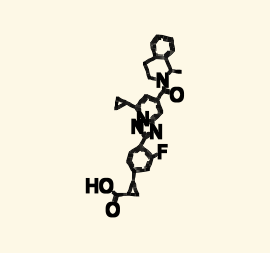 C[C@@H]1c2ccccc2CCN1C(=O)c1cc(C2CC2)n2nc(-c3ccc([C@H]4C[C@H]4C(=O)O)cc3F)nc2c1